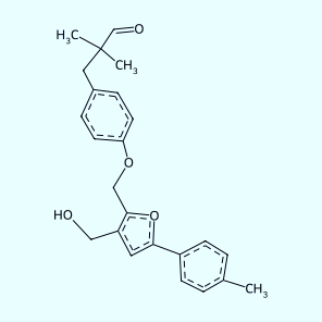 Cc1ccc(-c2cc(CO)c(COc3ccc(CC(C)(C)C=O)cc3)o2)cc1